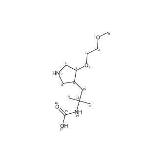 COCCOC1CNCC1CC(C)(C)NC(=O)O